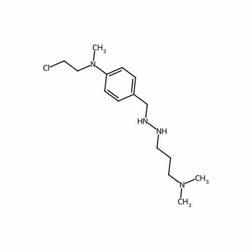 CN(C)CCCNNCc1ccc(N(C)CCCl)cc1